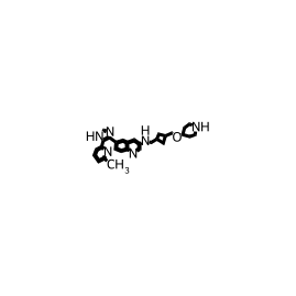 Cc1cccc(-c2[nH]cnc2-c2ccc3ncc(NCC4CC(COC5CCNCC5)C4)cc3c2)n1